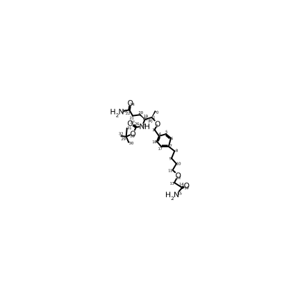 C[C@@H](OCc1ccc(CCCCOCC(N)=O)cc1)[C@H](CCC(N)=O)NC(=O)OC(C)(C)C